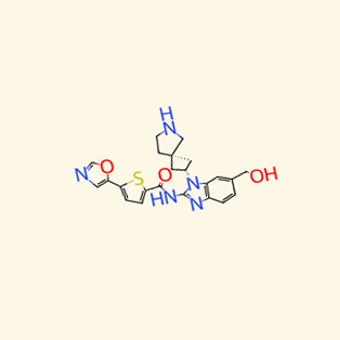 O=C(Nc1nc2ccc(CO)cc2n1[C@H]1C[C@@]2(CCNC2)C1)c1ccc(-c2cnco2)s1